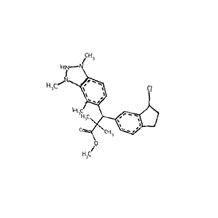 COC(=O)C(C)(C)C(c1ccc2c(c1)C(Cl)CC2)c1ccc2c(c1C)N(C)NN2C